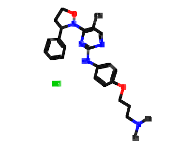 CCN(CC)CCCOc1ccc(Nc2ncc(C#N)c(N3OCCC3c3ccccc3)n2)cc1.Cl